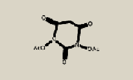 CC(=O)ON1C(=O)CC(=O)N(OC(C)=O)C1=O